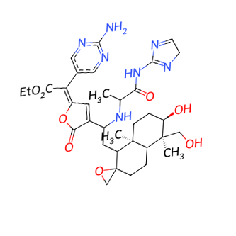 CCOC(=O)/C(=C1/C=C(C(CC2C3(CCC4[C@]2(C)CC[C@@H](O)[C@@]4(C)CO)CO3)NC(C)C(=O)NC2=NCC=N2)C(=O)O1)c1cnc(N)nc1